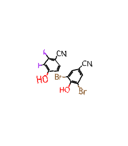 N#Cc1cc(Br)c(O)c(Br)c1.N#Cc1ccc(O)c(I)c1I